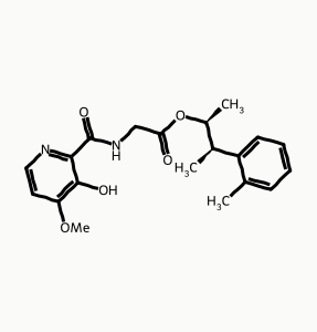 COc1ccnc(C(=O)NCC(=O)O[C@@H](C)[C@H](C)c2ccccc2C)c1O